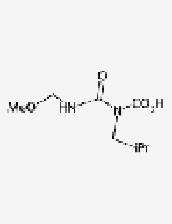 COCNC(=O)N(CC(C)C)C(=O)O